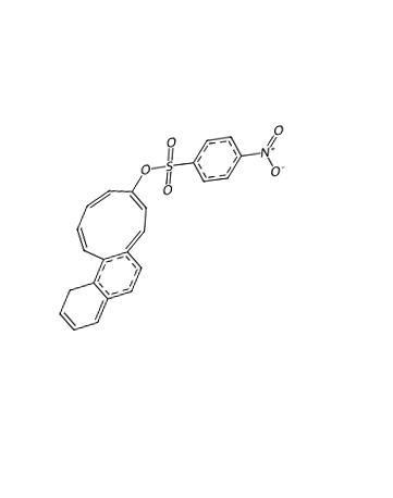 O=[N+]([O-])c1ccc(S(=O)(=O)OC2=CC=c3ccc4c(c3C=CC=C2)CC=CC=4)cc1